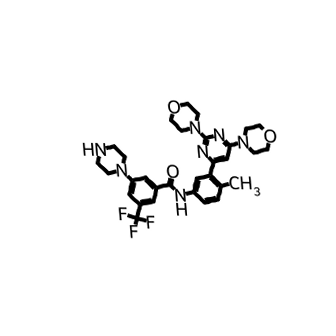 Cc1ccc(NC(=O)c2cc(N3CCNCC3)cc(C(F)(F)F)c2)cc1-c1cc(N2CCOCC2)nc(N2CCOCC2)n1